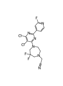 N#CCN1CCN(c2nc(-c3ccnc(F)c3)nc(Cl)c2Cl)CC(F)(F)C1